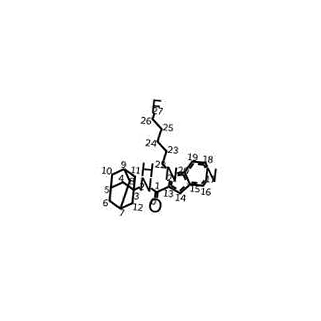 O=C(NC12CC3CC(CC(C3)C1)C2)c1cc2cnccc2n1CCCCCF